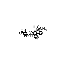 CC(C)Oc1cccc(F)c1C1=NCc2cnc(Nc3ccc(C(=O)O)cc3)nc2-c2ccc(Cl)cc21